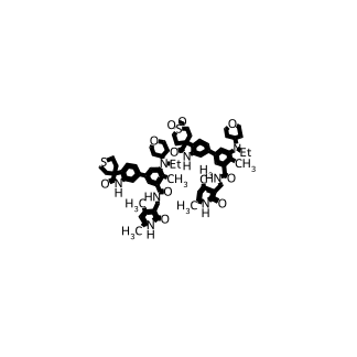 CCN(c1cc(-c2ccc3c(c2)NC(=O)C32CCS(=O)(=O)CC2)cc(C(=O)NCc2c(C)cc(C)[nH]c2=O)c1C)C1CCOCC1.CCN(c1cc(-c2ccc3c(c2)NC(=O)C32CCSCC2)cc(C(=O)NCc2c(C)cc(C)[nH]c2=O)c1C)C1CCOCC1